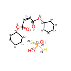 O=C(/C=C\C(=O)OC1CCCCC1)OC1CCCCC1.OP(O)(=S)S